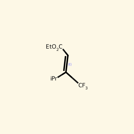 CCOC(=O)/C=C(\C(C)C)C(F)(F)F